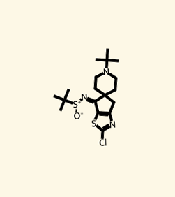 CC(C)(C)N1CCC2(CC1)Cc1nc(Cl)sc1/C2=N\[S@+]([O-])C(C)(C)C